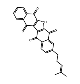 CC(C)=CCCc1ccc2c(=O)c3c([nH]c4c(=O)c5ccccc5c(=O)c43)c(=O)c2c1